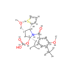 COC[C@H]1C[C@](CC(C)C)(OC(=O)O)N(C(=O)c2ccc(C(C)(C)C)c(OC)c2)[C@H]1c1cccs1